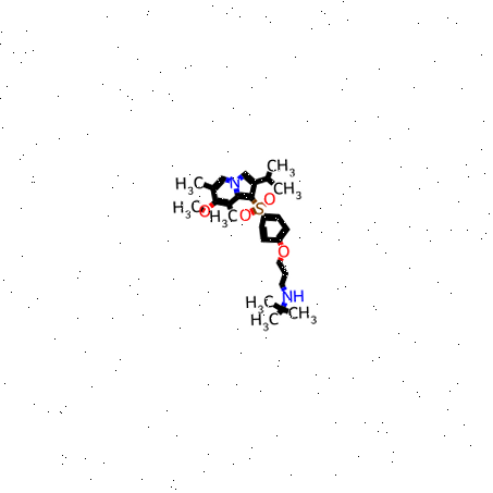 COc1c(C)cn2cc(C(C)C)c(S(=O)(=O)c3ccc(OCCCNC(C)(C)C)cc3)c2c1C